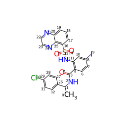 CC(NC(=O)c1ccc(I)cc1NS(=O)(=O)c1cccc2nccnc12)c1ccc(Cl)cc1